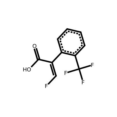 O=C(O)C(=CF)c1ccccc1C(F)(F)F